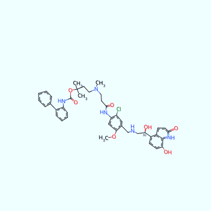 COc1cc(NC(=O)CCN(C)CCC(C)(C)OC(=O)Nc2ccccc2-c2ccccc2)c(Cl)cc1CNC[C@@H](O)c1ccc(O)c2[nH]c(=O)ccc12